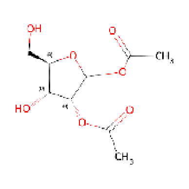 CC(=O)OC1O[C@H](CO)[C@@H](O)[C@H]1OC(C)=O